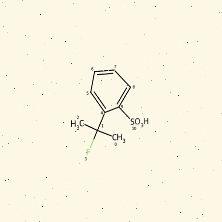 CC(C)(F)c1ccccc1S(=O)(=O)O